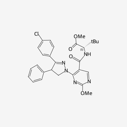 COC(=O)[C@@H](NC(=O)c1cnc(OC)nc1N1CC(c2ccccc2)C(c2ccc(Cl)cc2)=N1)C(C)(C)C